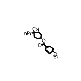 CCCC1(C#N)CCC(OC(=O)c2ccc(OCC)cc2)CC1